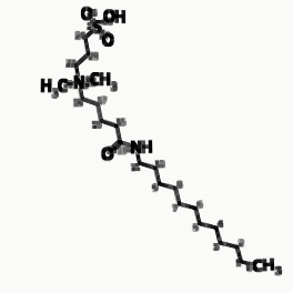 CCCCCCCCCCCCNC(=O)CCCC[N+](C)(C)CCCS(=O)(=O)O